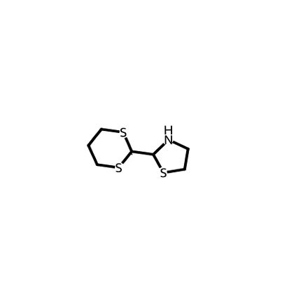 C1CS[C](C2NCCS2)SC1